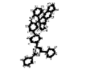 c1ccc(-c2cc(-c3ccc(-c4ccc5c(c4)C4(c6ccccc6S5)c5ccccc5-c5cc6ccoc6cc54)cc3)nc(-c3ccccc3)n2)cc1